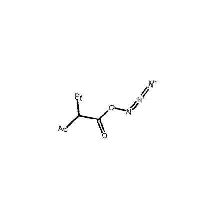 CCC(C(C)=O)C(=O)ON=[N+]=[N-]